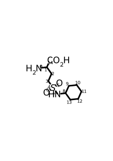 NC(CCS(=O)(=O)NC1CCCCC1)C(=O)O